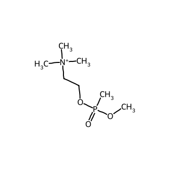 COP(C)(=O)OCC[N+](C)(C)C